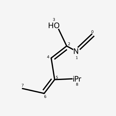 C=N/C(O)=C\C(=C/C)C(C)C